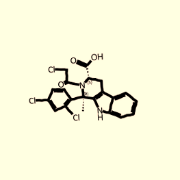 C[C@@]1(c2ccc(Cl)cc2Cl)c2[nH]c3ccccc3c2C[C@@H](C(=O)O)N1C(=O)CCl